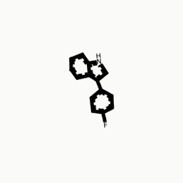 Fc1ccc(-c2c[nH]c3cc[c]cc23)cc1